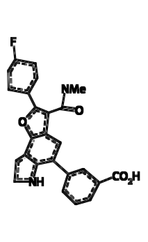 CNC(=O)c1c(-c2ccc(F)cc2)oc2c1cc(-c1cccc(C(=O)O)c1)c1[nH]ccc12